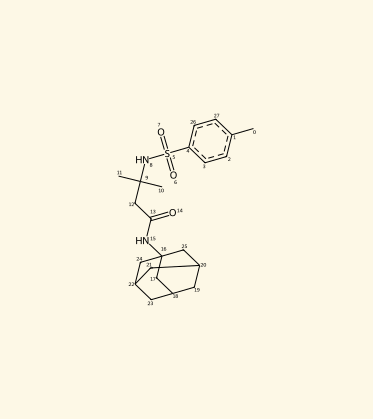 Cc1ccc(S(=O)(=O)NC(C)(C)CC(=O)NC23CC4CC(CC(C4)C2)C3)cc1